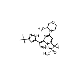 CC1COCCN1c1cc(C2(S(C)(=O)=O)CC2)n2ncc(-c3cc(C(F)(F)F)n[nH]3)c2n1